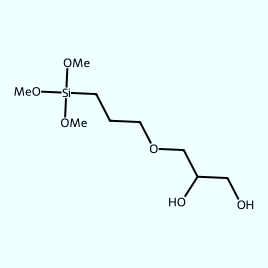 CO[Si](CCCOCC(O)CO)(OC)OC